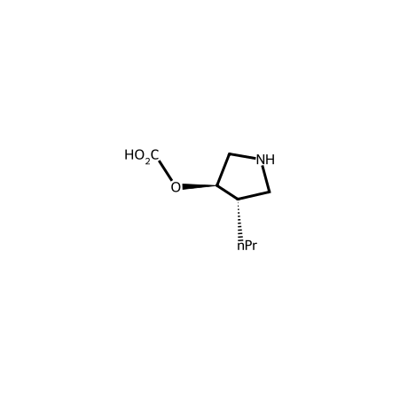 CCC[C@H]1CNC[C@@H]1OC(=O)O